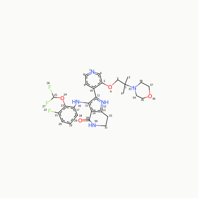 CC(C)(COc1cnccc1-c1[nH]c2c(c1Nc1cccc(F)c1OC(F)F)C(=O)NCC2)N1CCOCC1